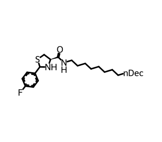 CCCCCCCCCCCCCCCCCCNC(=O)[C@@H]1CSC(c2ccc(F)cc2)N1